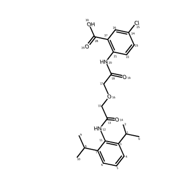 CC(C)c1cccc(C(C)C)c1NC(=O)COCC(=O)Nc1ccc(Cl)cc1C(=O)O